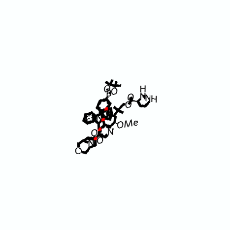 CCn1c(-c2cc(C3=CC4COCC(C3)N4C(=O)OCC3c4ccccc4-c4ccccc43)cnc2[C@H](C)OC)c(CC(C)(C)COC(=O)[C@@H]2CCCNN2)c2cc(B3OC(C)(C)C(C)(C)O3)ccc21